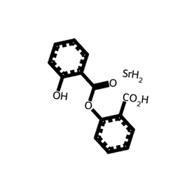 O=C(Oc1ccccc1C(=O)O)c1ccccc1O.[SrH2]